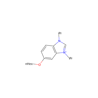 CCCCCCOc1ccc2c(c1)[n+](C(C)C)cn2C(C)C